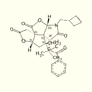 CC(C)(C)[C@]1(O)C[C@@H]2OC(=O)C[C@@]23C(=O)O[C@@H]2N(CC4CCC4)C(=O)[C@H](OC(=O)c4ccccc4)[C@]213